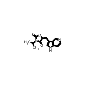 CC(C)N1C(=O)C(Cc2c[nH]c3ccncc23)OC1=S